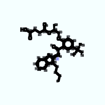 CCCCn1/c(=N/C(=O)c2cc(C(F)(F)F)ccc2OC[C@H](C)OC(=O)CCC(=O)O)sc2ccncc21